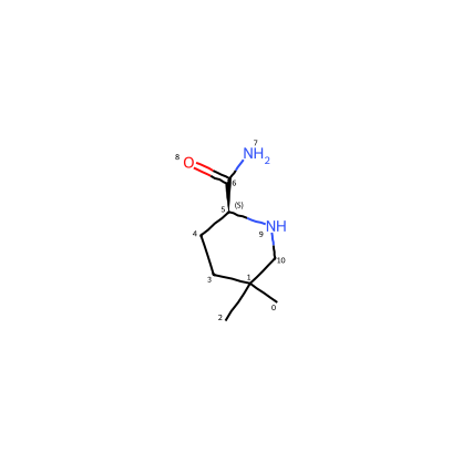 CC1(C)CC[C@@H](C(N)=O)NC1